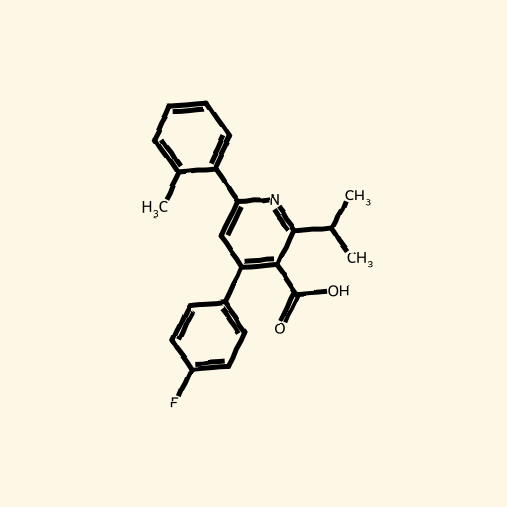 Cc1ccccc1-c1cc(-c2ccc(F)cc2)c(C(=O)O)c(C(C)C)n1